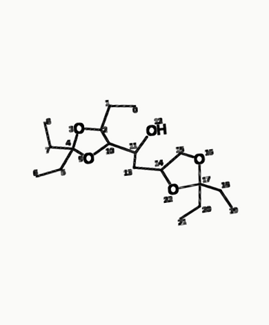 CCC1OC(CC)(CC)OC1C(O)CC1COC(CC)(CC)O1